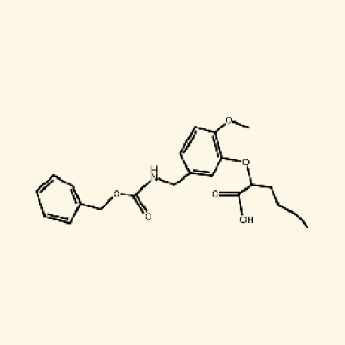 CCCCC(Oc1cc(CNC(=O)OCc2ccccc2)ccc1OC)C(=O)O